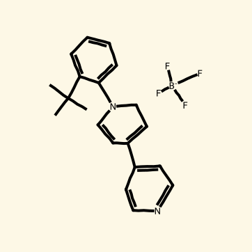 CC(C)(C)c1ccccc1N1C=CC(c2ccncc2)=CC1.F[B-](F)(F)F